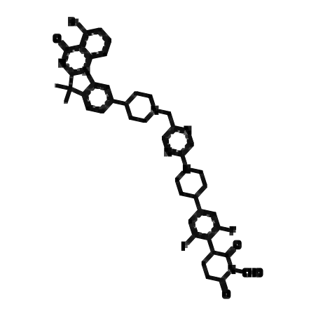 CC1(C)c2ccc(C3CCN(Cc4cnc(N5CCC(c6cc(F)c(C7CCC(=O)N(C=O)C7=O)c(F)c6)CC5)cn4)CC3)cc2-n2c1nc(=O)c1c(Br)cccc12